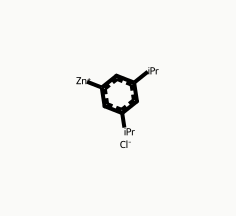 CC(C)c1c[c]([Zn+])cc(C(C)C)c1.[Cl-]